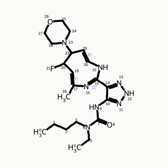 CCCCN(CC)C(=O)Nc1n[nH]nc1/C1=N/C(C)=C/C(F)C(N2CCOCC2)/C=C/N1